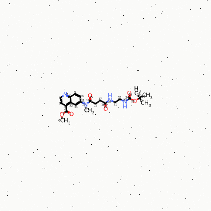 COC(=O)c1ccnc2ccc(N(C)C(=O)CCC(=O)NCCNC(=O)OC(C)(C)C)cc12